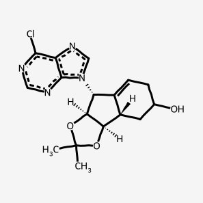 CC1(C)O[C@@H]2[C@H](O1)[C@H]1CC(O)CC=C1[C@H]2n1cnc2c(Cl)ncnc21